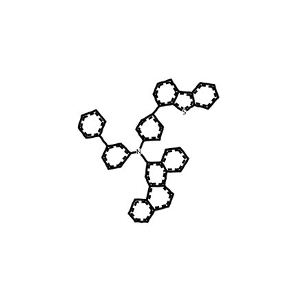 c1ccc(-c2cccc(N(c3ccc(-c4cccc5c4sc4ccccc45)cc3)c3cc4c5ccccc5ccc4c4ccccc34)c2)cc1